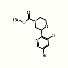 CC(C)(C)OC(=O)N1CCOC(c2ncc(Br)cc2Cl)C1